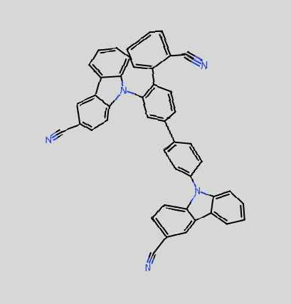 N#Cc1ccc2c(c1)c1ccccc1n2-c1ccc(-c2ccc(-c3ccccc3C#N)c(-n3c4ccccc4c4cc(C#N)ccc43)c2)cc1